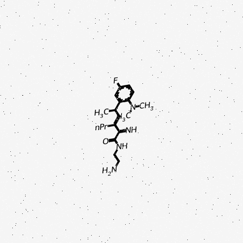 CCC/C(=C\C(C)c1cc(F)ccc1N(C)C)C(=N)C(=O)NCCN